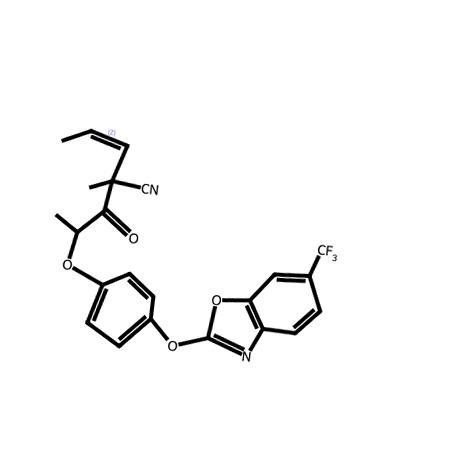 C/C=C\C(C)(C#N)C(=O)C(C)Oc1ccc(Oc2nc3ccc(C(F)(F)F)cc3o2)cc1